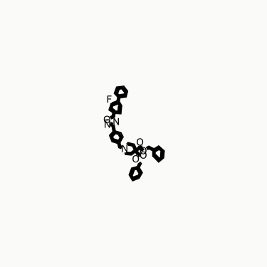 O=C(OCc1ccccc1)C1(C(=O)OCc2ccccc2)CCN(Cc2ccc(-c3noc(-c4ccc(-c5ccccc5)c(F)c4)n3)cc2)CC1